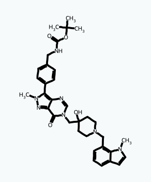 Cn1nc2c(=O)n(CC3(O)CCN(Cc4cccc5ccn(C)c45)CC3)cnc2c1-c1ccc(CNC(=O)OC(C)(C)C)cc1